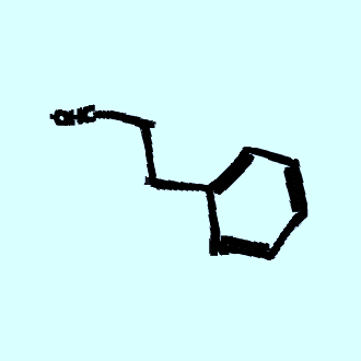 O=[C][CH][CH]c1ccccn1